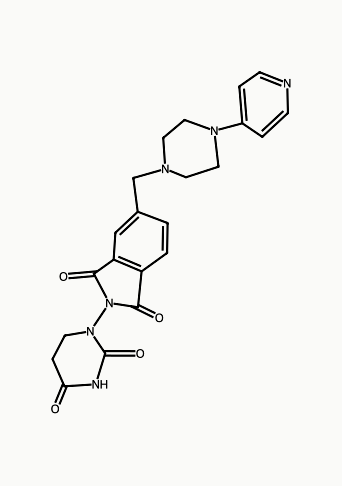 O=C1CCN(N2C(=O)c3ccc(CN4CCN(c5ccncc5)CC4)cc3C2=O)C(=O)N1